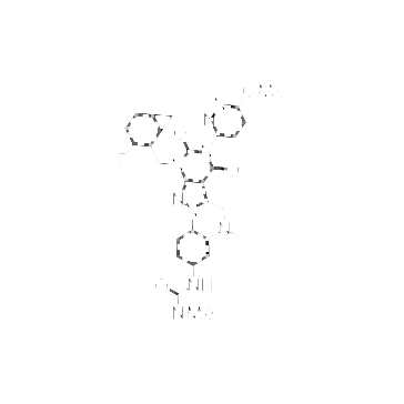 CNC(=O)Nc1ccc2c(c1)N(C)Cc1c3c(=O)n(-c4ccc(OC)nn4)c(=O)n(Cc4c(F)ccc5c4C5)c3nn1-2